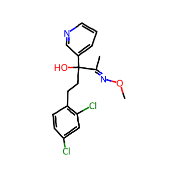 CON=C(C)C(O)(CCc1ccc(Cl)cc1Cl)c1cccnc1